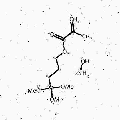 C=C(C)C(=O)OCCC[Si](OC)(OC)OC.O[SiH3]